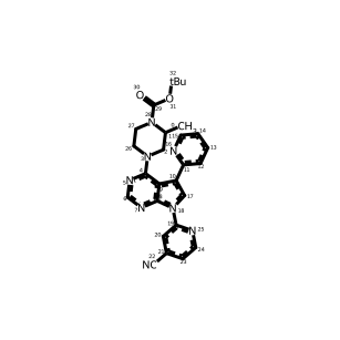 CC1CN(c2ncnc3c2c(-c2ccccn2)cn3-c2cc(C#N)ccn2)CCN1C(=O)OC(C)(C)C